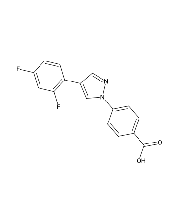 O=C(O)c1ccc(-n2cc(-c3ccc(F)cc3F)cn2)cc1